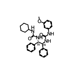 COc1cccc(NC(=O)N[C@@H](c2ccccc2)[C@@H](NC(=O)NC2CCCCC2)c2ccccc2)c1